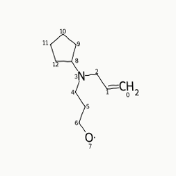 C=CCN(CCC[O])C1CCCC1